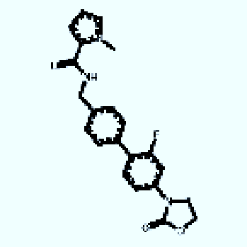 Cn1cccc1C(=O)NCc1ccc(-c2ccc(N3CCOC3=O)cc2F)cc1